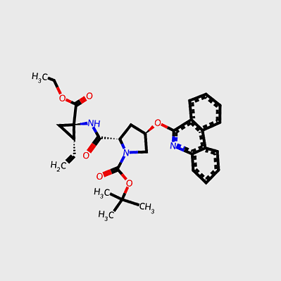 C=C[C@@H]1C[C@]1(NC(=O)[C@@H]1C[C@@H](Oc2nc3ccccc3c3ccccc23)CN1C(=O)OC(C)(C)C)C(=O)OCC